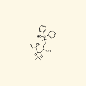 C=CC(O)C1OC(C)(C)OC1C(O)CCC(C)(C)[Si](O)(c1ccccc1)c1ccccc1